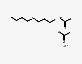 CC(=O)[O-].CC(=O)[O-].CCC[CH2][Sn][CH2]CCC.[Zn+2]